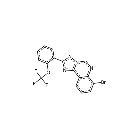 FC(F)(F)Oc1ccccc1-c1nc2c3cccc(Br)c3ncn2n1